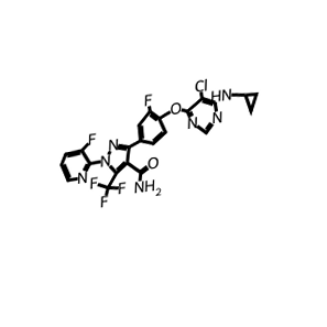 NC(=O)c1c(-c2ccc(Oc3ncnc(NC4CC4)c3Cl)c(F)c2)nn(-c2ncccc2F)c1C(F)(F)F